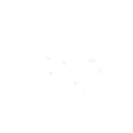 CC(F)(F)c1cnc2[nH]cc(-c3nc(NC4CCCc5ccccc54)ncc3C#N)c2c1